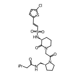 CC(C)CC(=O)NC[C@@H]1CCCN1C(=O)CN1CCC[C@H](NS(=O)(=O)/C=C/c2ccc(Cl)s2)C1=O